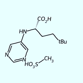 CC(C)(C)CC[C@H](Nc1cncnc1)C(=O)O.CS(=O)(=O)O